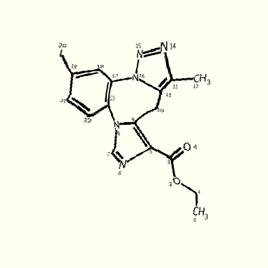 CCOC(=O)c1ncn2c1Cc1c(C)nnn1-c1cc(I)ccc1-2